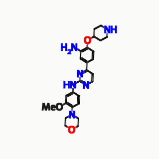 COc1cc(Nc2nccc(-c3ccc(OC4CCNCC4)c(N)c3)n2)ccc1N1CCOCC1